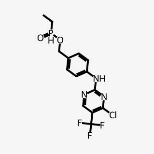 CC[PH](=O)OCc1ccc(Nc2ncc(C(F)(F)F)c(Cl)n2)cc1